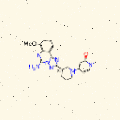 COc1cccc2c1nc(N)n1nc([C@@H]3CCCN(c4ccn(C)c(=O)c4)C3)nc21